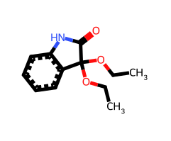 CCOC1(OCC)C(=O)Nc2ccccc21